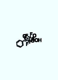 O=S(=O)(O)C(F)(F)C(F)(F)[S+]([O-])c1ccccc1